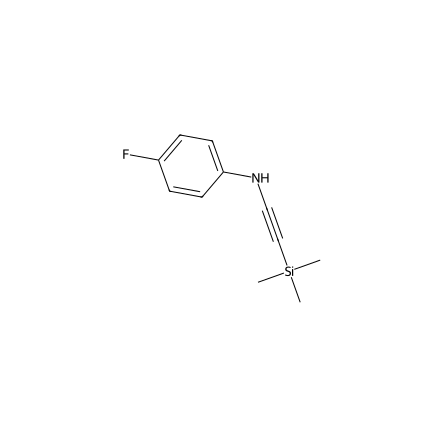 C[Si](C)(C)C#CNc1ccc(F)cc1